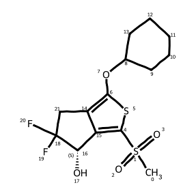 CS(=O)(=O)c1sc(OC2CCCCC2)c2c1[C@H](O)C(F)(F)C2